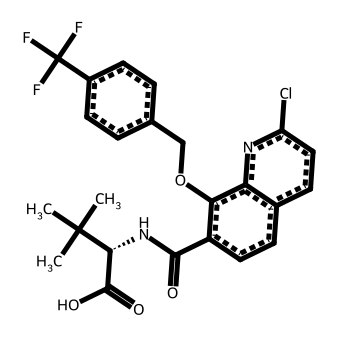 CC(C)(C)[C@H](NC(=O)c1ccc2ccc(Cl)nc2c1OCc1ccc(C(F)(F)F)cc1)C(=O)O